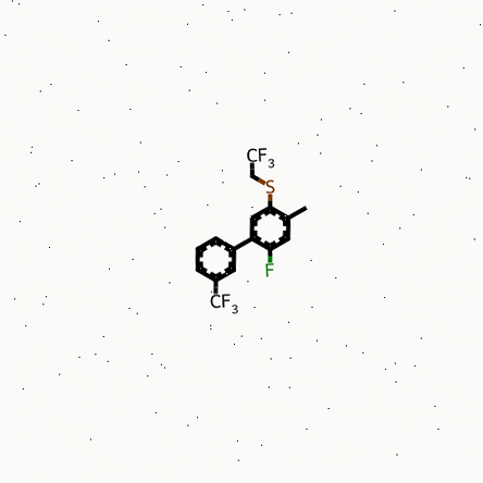 Cc1cc(F)c(-c2cccc(C(F)(F)F)c2)cc1SCC(F)(F)F